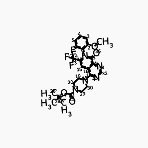 COc1cccc(F)c1-n1c(C(F)(F)F)cc2c(N3CCN(C(=O)OC(C)(C)C)CC3)ncnc2c1=O